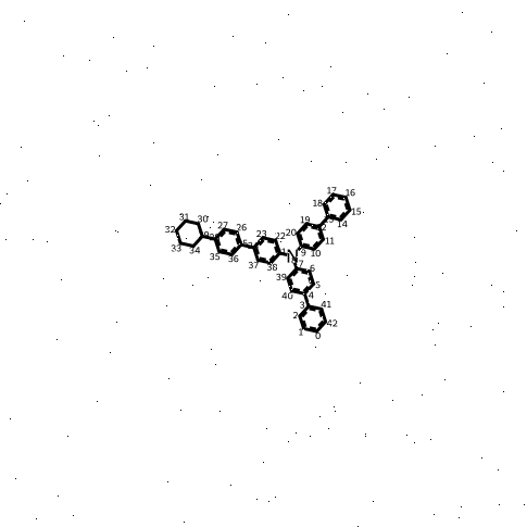 c1ccc(-c2ccc(N(c3ccc(-c4ccccc4)cc3)c3ccc(-c4ccc(C5CCCCC5)cc4)cc3)cc2)cc1